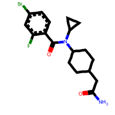 NC(=O)CC1CCC(N(C(=O)c2ccc(Br)cc2F)C2CC2)CC1